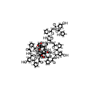 CSCC[C@H](NC(=O)[C@@H]1CCCN1C(=O)CNC(=O)[C@@H]1C[C@@H](O)CN1C(=O)[C@@H]1CCCN1)C(=O)NCC(=O)N1CCC[C@H]1C(=O)N1C[C@H](O)C[C@H]1C(=O)NCC(=O)N1CCC[C@H]1C(=O)N1C[C@H](O)C[C@H]1C(=O)NCC(=O)N1CCC[C@H]1C(=O)N1C[C@H](O)C[C@H]1C(=O)NCC(=O)N1CCC[C@H]1C(=O)N1C[C@H](O)C[C@H]1C(=O)NCC(=O)N1CCC[C@H]1C(=O)N1C[C@H](O)C[C@H]1C(=O)NCC(=O)O